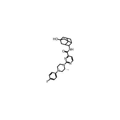 C[C@@H]1CN(c2ccc(F)cc2)CCN1c1nccc(C(=O)NC2C3CC4CC2CC(O)(C4)C3)n1